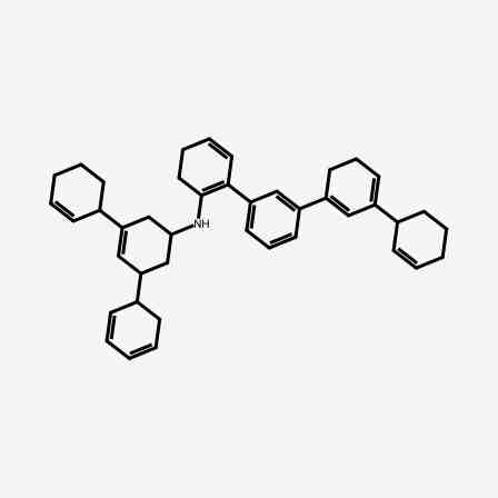 C1=CCC(C2C=C(C3C=CCCC3)CC(NC3=C(c4cccc(C5=CC(C6C=CCCC6)=CCC5)c4)C=CCC3)C2)C=C1